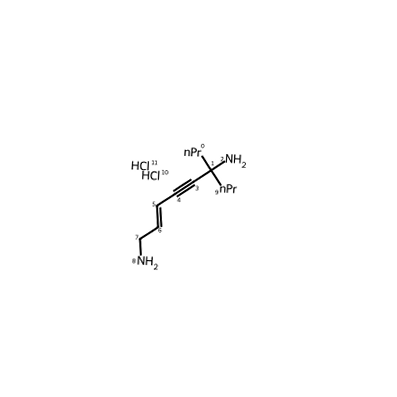 CCCC(N)(C#CC=CCN)CCC.Cl.Cl